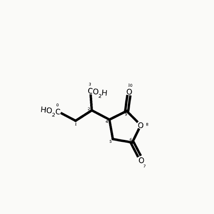 O=C(O)CC(C(=O)O)C1CC(=O)OC1=O